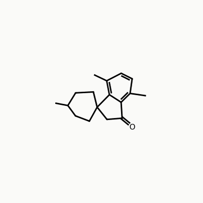 Cc1ccc(C)c2c1C(=O)CC21CCC(C)CC1